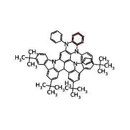 CC(C)(C)c1ccc2c(c1)c1cc(C(C)(C)C)cc3c1n2-c1cc(N(c2ccccc2)c2ccccc2)c(N(c2ccccc2)c2ccccc2)c2c1C3c1cc(C(C)(C)C)cc3c4cc(C(C)(C)C)ccc4n-2c13